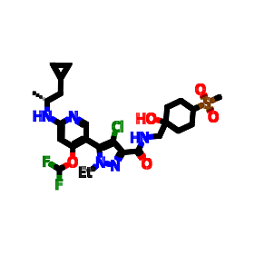 CCn1nc(C(=O)NCC2(O)CCC(S(C)(=O)=O)CC2)c(Cl)c1-c1cnc(N[C@H](C)CC2CC2)cc1OC(F)F